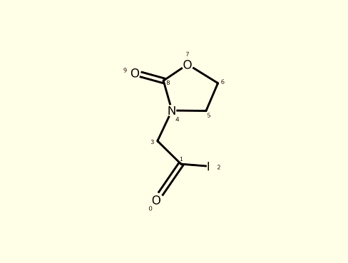 O=C(I)CN1CCOC1=O